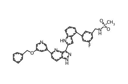 CS(=O)(=O)NCc1cc(F)cc(-c2cccc3[nH]c(-c4n[nH]c5ccc(-c6cncc(OCc7ccccc7)c6)nc45)cc23)c1